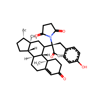 COC(=O)[C@](Cc1ccc(O)cc1)(C1C[C@]2(C)[C@@H](C(C)=O)CC[C@H]2[C@@H]2CCC3=CC(=O)CC[C@]3(C)[C@@H]12)N1C(=O)CCC1=O